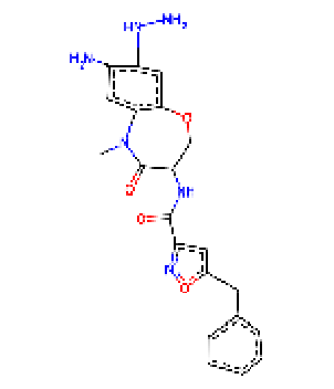 CN1C(=O)C(NC(=O)c2cc(Cc3ccccc3)on2)COc2cc(NN)c(N)cc21